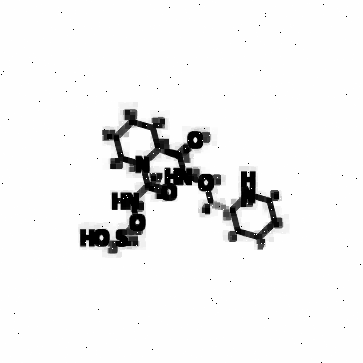 O=C(NOC[C@H]1CCCCN1)[C@@H]1CCCCN1C(=O)NOS(=O)(=O)O